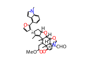 COC(=O)C[C@H]1[C@]2(C)C3=C(C)[C@H](c4ccoc4-c4cccc5c4ccn5C)C[C@H]3O[C@@H]2[C@@H]2OC=N[C@@]23[C@](C)(C=O)C=CC(=O)[C@]13C